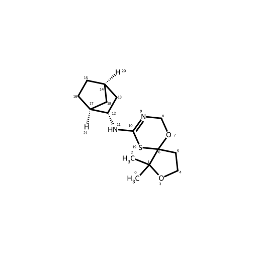 CC1(C)OCCC12OCN=C(N[C@H]1C[C@@H]3CC[C@H]1C3)S2